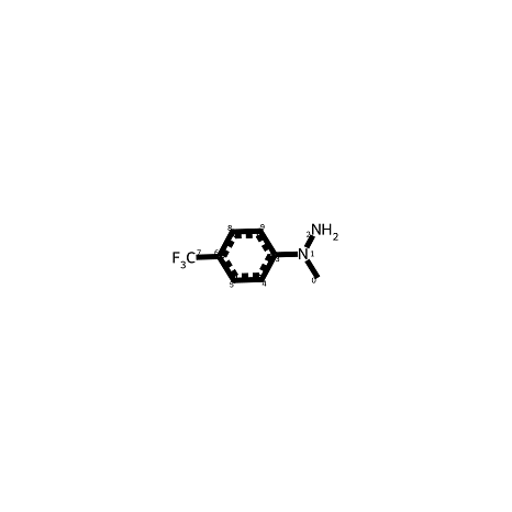 CN(N)c1ccc(C(F)(F)F)cc1